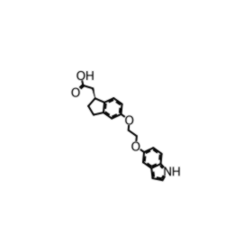 O=C(O)C[C@@H]1CCc2cc(OCCOc3ccc4[nH]ccc4c3)ccc21